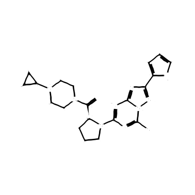 Nc1nc(N2CCC[C@H]2C(=O)N2CCN(C3CC3)CC2)nc2nc(-c3ccco3)nn12